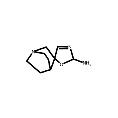 NC1N=CC2(CN3CCC2CC3)O1